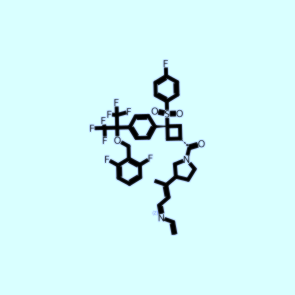 C=C/N=C\C=C(C)C1CCN(C(=O)[C@H]2C[C@@](c3ccc(C(OCc4c(F)cccc4F)(C(F)(F)F)C(F)(F)F)cc3)(S(=O)(=O)c3ccc(F)cc3)C2)C1